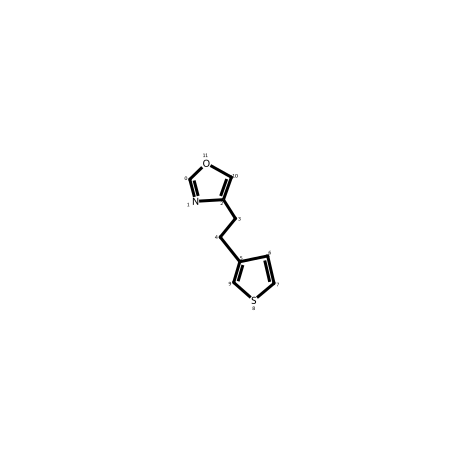 c1nc(CCc2ccsc2)co1